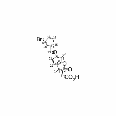 Cc1c(CC(=O)O)c(=O)oc2c(C)c(OCc3cccc(Br)c3)ccc12